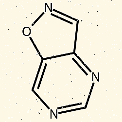 [c]1noc2cncnc12